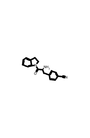 N#Cc1ccc(C[C@H](N)C(=O)N2CCc3ccccc32)cc1